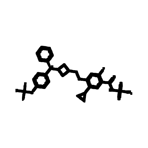 CS(=O)(=O)NC(=O)c1cc(C2CC2)c(OCC2CN([C@H](c3ccccc3)c3ccc(OC(F)(F)F)cc3)C2)cc1F